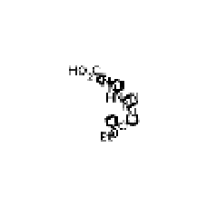 CCOc1ccccc1O[C@@H]1CCCN(c2cncc(Nc3cccc(N4CCC(C(=O)O)C4)n3)n2)C1